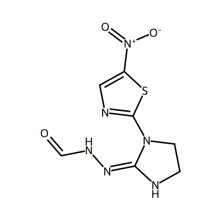 O=CNN=C1NCCN1c1ncc([N+](=O)[O-])s1